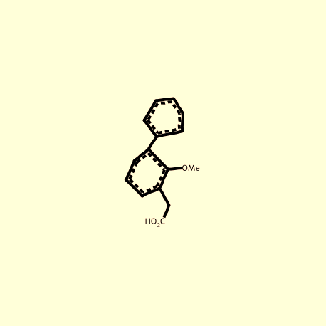 COc1c(CC(=O)O)cccc1-c1ccccc1